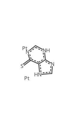 S=c1nc[nH]c2nc[nH]c12.[Pt].[Pt]